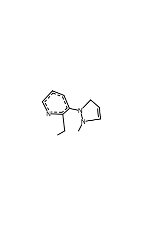 CCc1ncccc1N1CC=CN1C